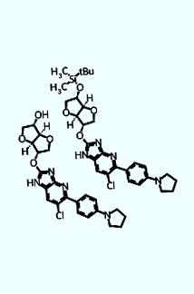 CC(C)(C)[Si](C)(C)O[C@@H]1CO[C@H]2[C@@H]1OC[C@H]2Oc1nc2nc(-c3ccc(N4CCCC4)cc3)c(Cl)cc2[nH]1.O[C@@H]1CO[C@H]2[C@@H]1OC[C@H]2Oc1nc2nc(-c3ccc(N4CCCC4)cc3)c(Cl)cc2[nH]1